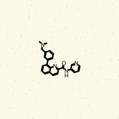 CN(C)Cc1cccc(-c2cccc3ccc(C(=O)Nc4cccnc4)nc23)c1